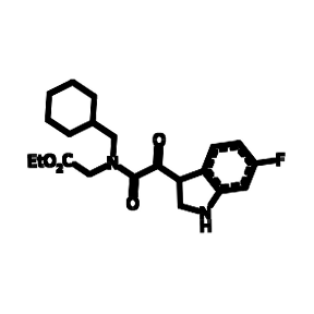 CCOC(=O)CN(CC1CCCCC1)C(=O)C(=O)C1CNc2cc(F)ccc21